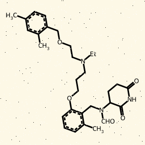 CCN(CCCOc1cccc(C)c1CN(C=O)C1CCC(=O)NC1=O)CCOCc1ccc(C)cc1C